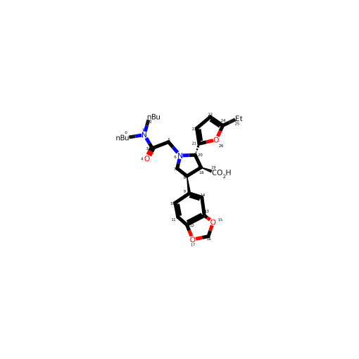 CCCCN(CCCC)C(=O)CN1C[C@H](c2ccc3c(c2)OCO3)[C@H](C(=O)O)[C@H]1c1ccc(CC)o1